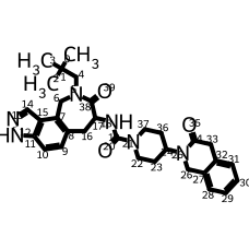 CC(C)(C)CN1Cc2c(ccc3[nH]ncc23)CC(NC(=O)N2CCC(N3Cc4ccccc4CC3=O)CC2)C1=O